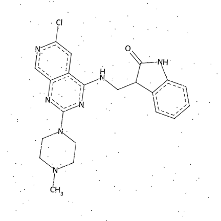 CN1CCN(c2nc(NCC3C(=O)Nc4ccccc43)c3cc(Cl)ncc3n2)CC1